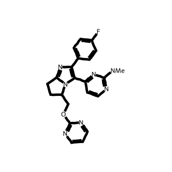 CNc1nccc(-c2c(-c3ccc(F)cc3)nc3n2C(COc2ncccn2)CC3)n1